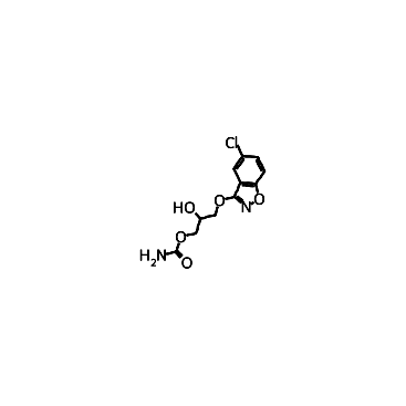 NC(=O)OCC(O)COc1noc2ccc(Cl)cc12